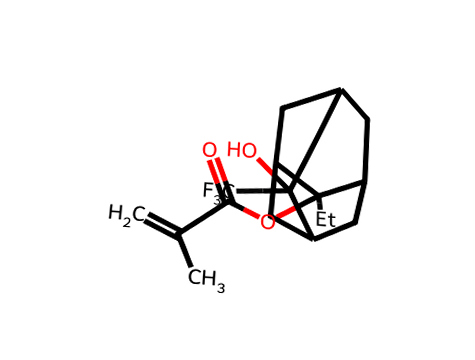 C=C(C)C(=O)OC1(CC)C2CC3CC1CC(C2)C3(O)C(F)(F)F